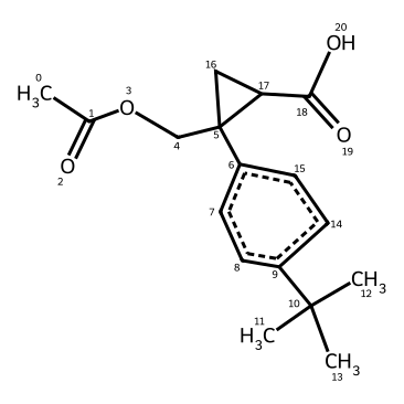 CC(=O)OCC1(c2ccc(C(C)(C)C)cc2)CC1C(=O)O